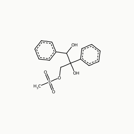 CS(=O)(=O)OCC(O)(c1ccccc1)C(O)c1ccccc1